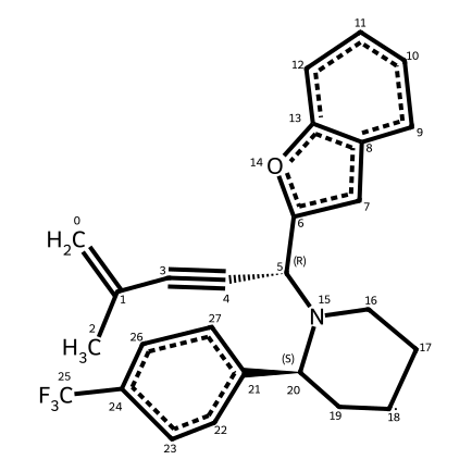 C=C(C)C#C[C@H](c1cc2ccccc2o1)N1CC[CH]C[C@H]1c1ccc(C(F)(F)F)cc1